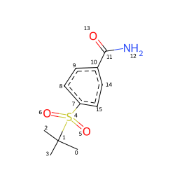 CC(C)(C)S(=O)(=O)c1ccc(C(N)=O)cc1